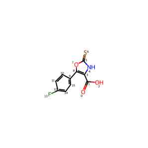 O=C(O)c1[nH]c(=S)oc1-c1ccc(F)cc1